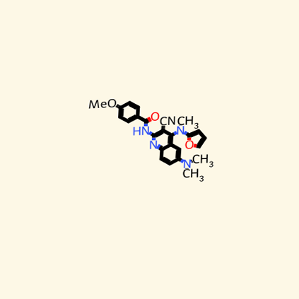 COc1ccc(C(=O)Nc2nc3ccc(N(C)C)cc3c(N(C)c3ccco3)c2C#N)cc1